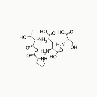 C[C@@H](O)[C@H](N)C(=O)OC(=O)[C@@H]1CCCN1.N[C@@H](CCC(=O)O)C(=O)O.N[C@@H](CO)C(=O)O